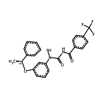 C[C@H](Oc1cccc(N(S)C(=O)NC(=O)c2ccc(C(F)(F)F)cc2)c1)c1ccccc1